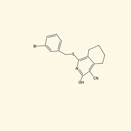 N#Cc1c(O)nc(SCc2cccc(Br)c2)c2c1CCCC2